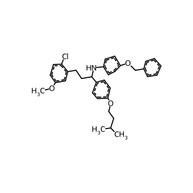 COc1ccc(Cl)c(CCC(Nc2ccc(OCc3ccccc3)cc2)c2ccc(OCCC(C)C)cc2)c1